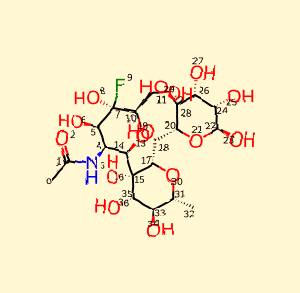 CC(=O)N[C@H]1[C@@H](O)[C@@](O)(F)[C@@H](CO)O[C@H]1[C@@]1(O)[C@H](C(O)[C@H]2O[C@H](O)[C@@H](O)[C@@H](O)[C@@H]2O)O[C@H](C)[C@@H](O)[C@@H]1O